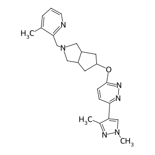 Cc1cccnc1CN1CC2CC(Oc3ccc(-c4cn(C)nc4C)nn3)CC2C1